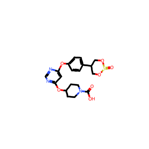 O=C(O)N1CCC(Oc2cc(Oc3ccc(C4COS(=O)OC4)cc3)ncn2)CC1